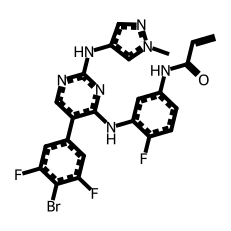 C=CC(=O)Nc1ccc(F)c(Nc2nc(Nc3cnn(C)c3)ncc2-c2cc(F)c(Br)c(F)c2)c1